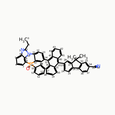 CCc1nc2cccc3c2n1-c1ccc(-c2c4ccccc4c(-c4ccc5c(c4)C(C)(C)c4cc(C#N)ccc4-5)c4ccccc24)cc1P3(=O)c1ccccc1